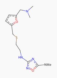 CNc1nc(NCCSCc2ccc(CN(C)C)o2)no1